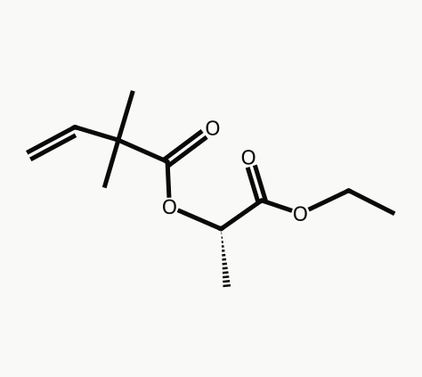 C=CC(C)(C)C(=O)O[C@@H](C)C(=O)OCC